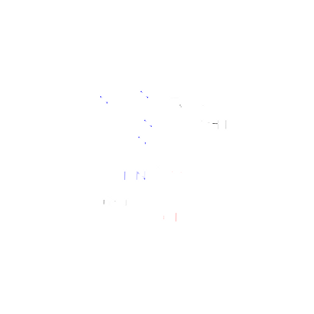 C=N/C=C(\N=C/C)n1nc(C(=O)N[C@H](CO)C(C)(C)C)c2c1[C@@H]1C[C@@H]1C2